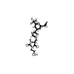 CN1C(=O)N(CCO)C(=O)/C1=C/n1cnc(-c2cc(C3CC3)nc(C(F)(F)F)c2)n1